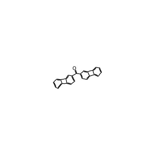 O=C(c1ccc2c(c1)-c1ccccc1-2)c1ccc2c(c1)-c1ccccc1-2